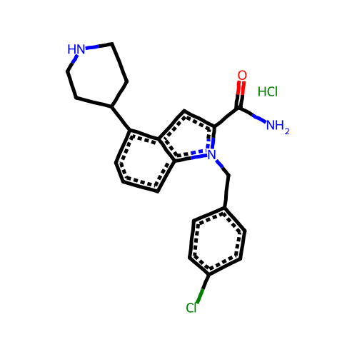 Cl.NC(=O)c1cc2c(C3CCNCC3)cccc2n1Cc1ccc(Cl)cc1